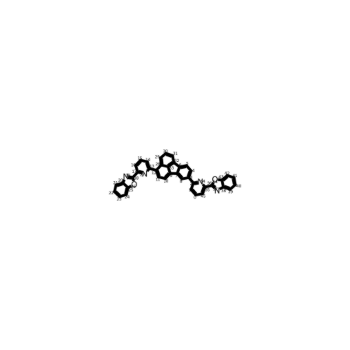 c1cc(-c2ccc3c(c2)-c2ccc(-c4cccc(-c5nc6ccccc6o5)n4)c4cccc-3c24)nc(-c2nc3ccccc3o2)c1